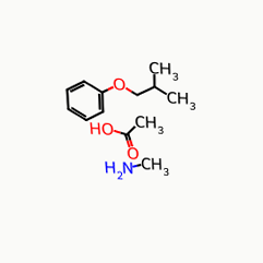 CC(=O)O.CC(C)COc1ccccc1.CN